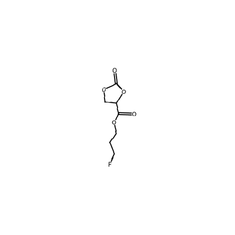 O=C1OCC(C(=O)OCCCF)O1